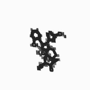 Cc1ccccc1-c1nc2c(n1-c1nnn(C)n1)CC[C@@]13CC1(C)C(=O)C(C#N)C[C@]23C